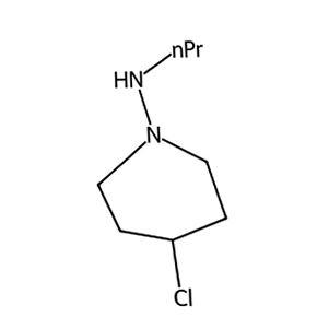 CCCNN1CCC(Cl)CC1